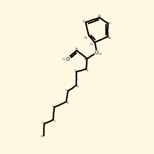 CCCCCCCCCC([C]=O)Oc1ccccc1